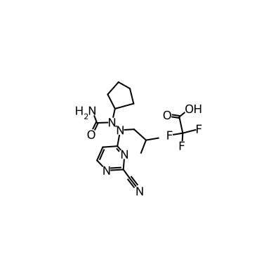 CC(C)CN(c1ccnc(C#N)n1)N(C(N)=O)C1CCCC1.O=C(O)C(F)(F)F